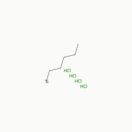 CCCC[CH2][Ti].Cl.Cl.Cl.Cl